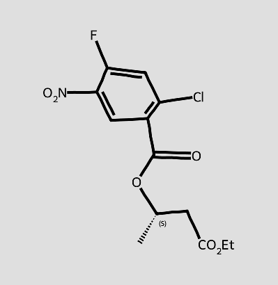 CCOC(=O)C[C@H](C)OC(=O)c1cc([N+](=O)[O-])c(F)cc1Cl